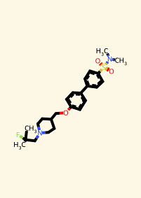 CN(C)S(=O)(=O)c1ccc(-c2ccc(OCC3CCN(CC(C)(C)F)CC3)cc2)cc1